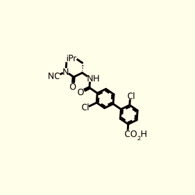 CC(C)C[C@H](NC(=O)c1ccc(-c2cc(C(=O)O)ccc2Cl)cc1Cl)C(=O)N(C)C#N